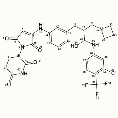 O=C1CCC(N2C(=O)C=C(Nc3cccc(CC(CN4CCC4)C(O)Nc4ccc(C(F)(F)F)c(Cl)c4)c3)C2=O)C(=O)N1